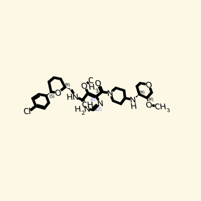 C=C(NC[C@H]1CCC[C@@H](C2C=CC(Cl)=CC2)O1)/C(OC)=C(\N=C/N)C(=O)N1CCC(N[C@@H]2CCOC[C@@H]2OC)CC1